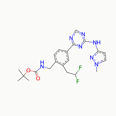 Cn1ccc(Nc2ncnc(-c3ccc(CNC(=O)OC(C)(C)C)c(CC(F)F)c3)n2)n1